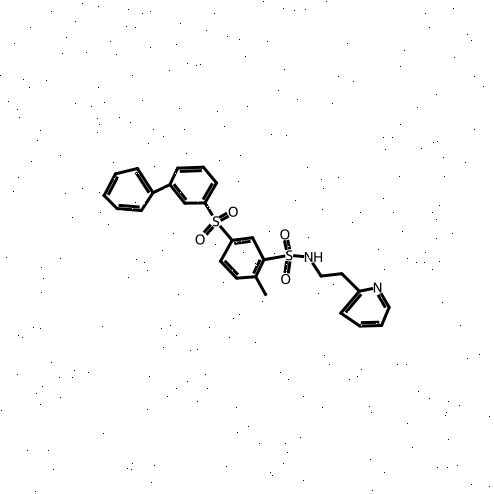 Cc1ccc(S(=O)(=O)c2cccc(-c3ccccc3)c2)cc1S(=O)(=O)NCCc1ccccn1